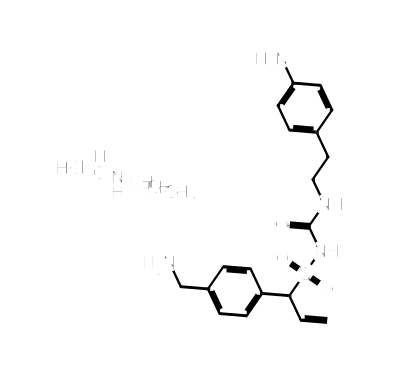 C.C.C.C=CC(c1ccc(CN)cc1)S(=O)(=O)NC(=O)NCCc1ccc(N)cc1.Cl.Cl.N